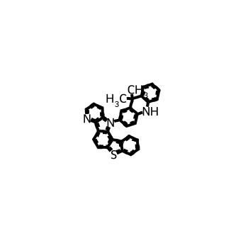 CC1(C)c2ccccc2Nc2ccc(-n3c4cccnc4c4ccc5sc6ccccc6c5c43)cc21